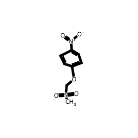 CS(=O)(=O)COc1ccc([N+](=O)[O-])cc1